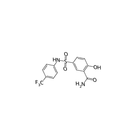 NC(=O)c1cc(S(=O)(=O)Nc2ccc(C(F)(F)F)cc2)ccc1O